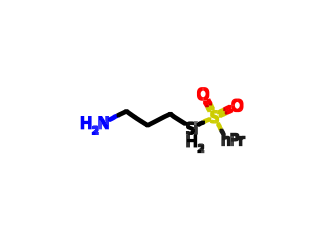 CCCS(=O)(=O)[SiH2]CCCN